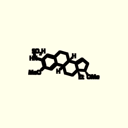 CC[C@]12CC[C@@H]3c4cc(OC)c(NS(=O)(=O)O)cc4CC[C@H]3C1=CC[C@@H]2OC